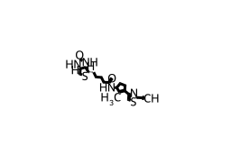 C#Cc1nc(C2=C(C)C(NC(=O)CCCC[C@@H]3SC[C@@H]4NC(=O)N[C@@H]43)CC2)cs1